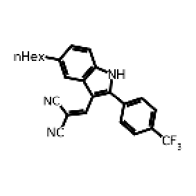 CCCCCCc1ccc2[nH]c(-c3ccc(C(F)(F)F)cc3)c(C=C(C#N)C#N)c2c1